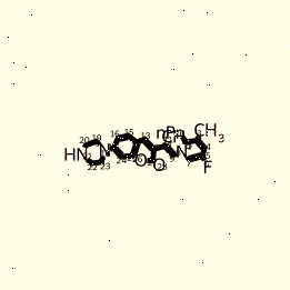 CCCC1C(C)=CC(F)=CN1/C=C(\C)c1cc2ccc(N3CCNCC3)cc2oc1=O